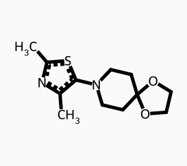 Cc1nc(C)c(N2CCC3(CC2)OCCO3)s1